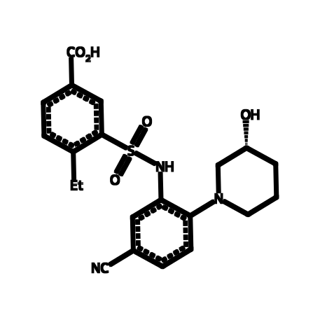 CCc1ccc(C(=O)O)cc1S(=O)(=O)Nc1cc(C#N)ccc1N1CCC[C@@H](O)C1